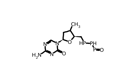 CC1C[C@H](n2cnc(N)nc2=O)O[C@@H]1CPPP=O